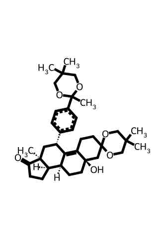 CC1(C)COC2(CCC3=C4[C@@H](CC[C@@]3(O)C2)[C@H]2CCC(=O)[C@@]2(C)C[C@@H]4c2ccc(C3(C)OCC(C)(C)CO3)cc2)OC1